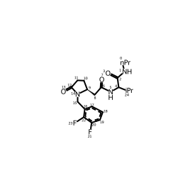 CCCNC(=O)C(NC(=O)C[C@@H]1CCC(=O)N1Cc1cccc(F)c1F)C(C)C